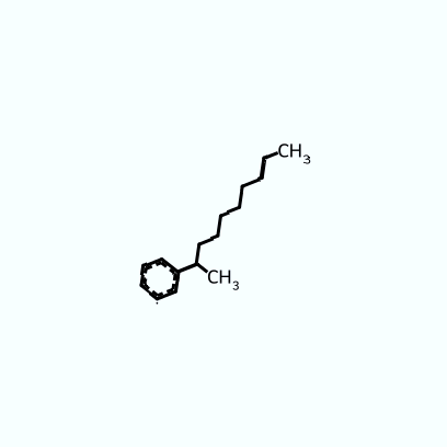 CCCCCCCCC(C)c1c[c]ccc1